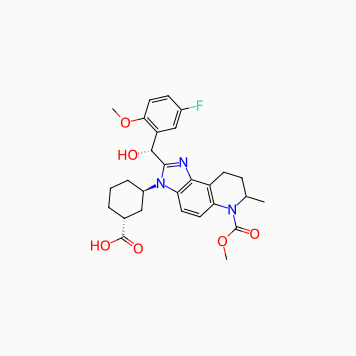 COC(=O)N1c2ccc3c(nc([C@H](O)c4cc(F)ccc4OC)n3[C@@H]3CCC[C@@H](C(=O)O)C3)c2CCC1C